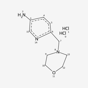 Cl.Cl.Nc1ccc(CN2CCOCC2)nc1